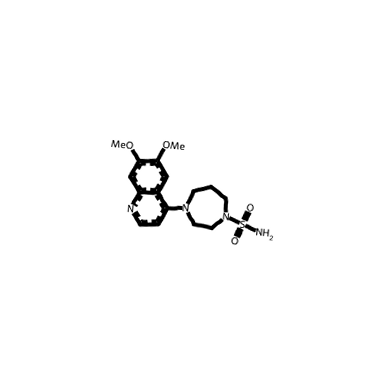 COc1cc2nccc(N3CCCN(S(N)(=O)=O)CC3)c2cc1OC